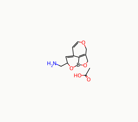 CC(=O)O.NCC1C=C2C=COCC3=C2B(OC3)O1